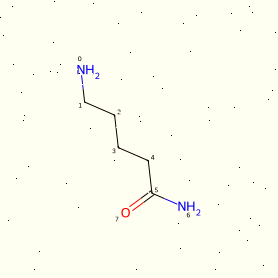 NCCCCC(N)=O